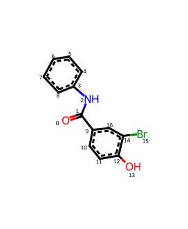 O=C(Nc1ccccc1)c1ccc(O)c(Br)c1